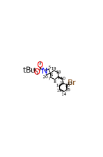 CC(C)(C)OC(=O)N1CC2(CCC(=Cc3ccccc3Br)CC2)C1